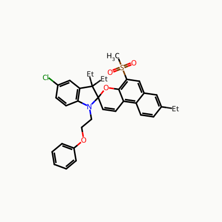 CCc1ccc2c3c(c(S(C)(=O)=O)cc2c1)OC1(C=C3)N(CCOc2ccccc2)c2ccc(Cl)cc2C1(CC)CC